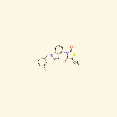 C=C1SC(=O)N(c2cccc3c2ccn3Cc2cccc(F)c2)C1=O